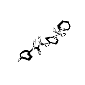 O=C(NOC1CCN(S(=O)(=O)N2CCCCC2)CC1)Nc1ccc(F)cc1